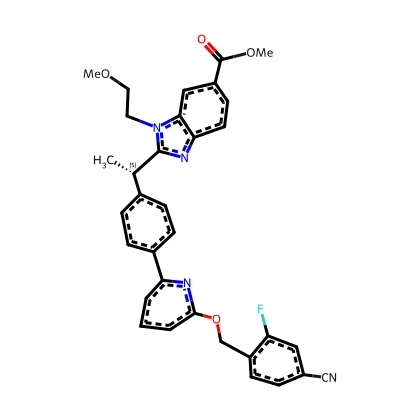 COCCn1c([C@@H](C)c2ccc(-c3cccc(OCc4ccc(C#N)cc4F)n3)cc2)nc2ccc(C(=O)OC)cc21